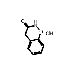 Cl.O=C1Cc2ccccc2ON1